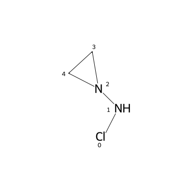 ClNN1CC1